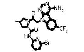 C[C@@H]1C[C@H](C(=O)Nc2cccc(Br)n2)N(C(=O)Cn2c3ccc(C(F)(F)F)cc3c3c(N)ncnc32)C1